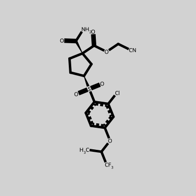 CC(Oc1ccc(S(=O)(=O)[C@H]2CC[C@](C(N)=O)(C(=O)OCC#N)C2)c(Cl)c1)C(F)(F)F